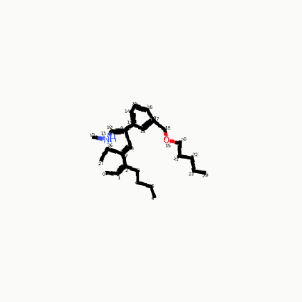 C\C=C(CCCC)/C(=C/C(=C\NC)c1cccc(COCCCCC)c1)CC